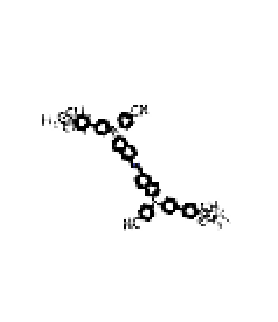 C[Si](C)(C)c1ccc(-c2ccc(N(c3ccc(C#N)cc3)c3ccc4cc(/C=C/c5ccc6cc(N(c7ccc(C#N)cc7)c7ccc(-c8ccc([Si](C)(C)C)cc8)cc7)ccc6c5)ccc4c3)cc2)cc1